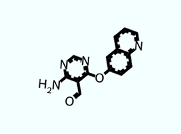 Nc1ncnc(Oc2ccc3ncccc3c2)c1C=O